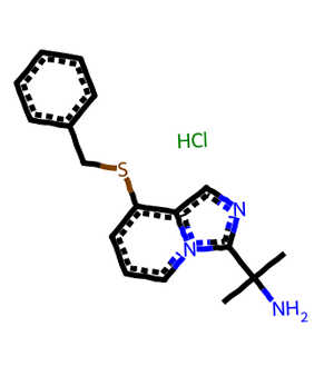 CC(C)(N)c1ncc2c(SCc3ccccc3)cccn12.Cl